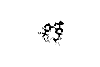 COC(C)(C)c1nccc(N2CC3(CC3)c3cnc(NC(C)=O)cc32)n1